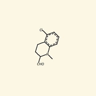 CN1c2cccc(Cl)c2CCC1C=O